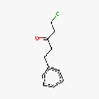 O=C(CCCl)CCc1ccccc1